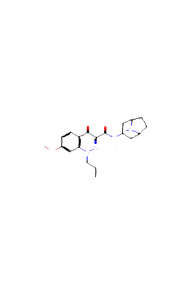 CCCn1nc(C(=O)NC2CC3CCC(C2)N3C)c(=O)c2ccc(OC)cc21.Cl